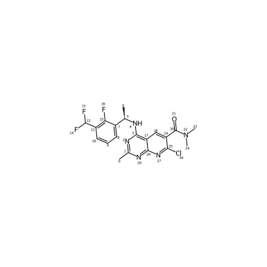 Cc1nc(N[C@H](C)c2cccc(C(F)F)c2F)c2cc(C(=O)N(C)C)c(Cl)nc2n1